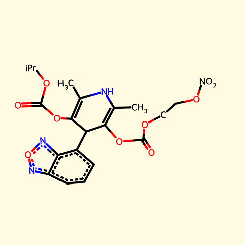 CC1=C(OC(=O)OCCO[N+](=O)[O-])C(c2cccc3nonc23)C(OC(=O)OC(C)C)=C(C)N1